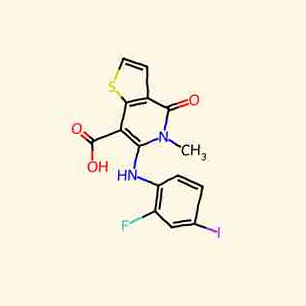 Cn1c(Nc2ccc(I)cc2F)c(C(=O)O)c2sccc2c1=O